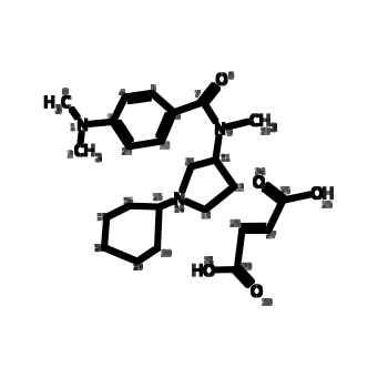 CN(C)c1ccc(C(=O)N(C)C2CCN(C3CCCCC3)C2)cc1.O=C(O)/C=C/C(=O)O